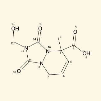 CC1(C(=O)O)C=CCn2c(=O)n(CO)c(=O)n21